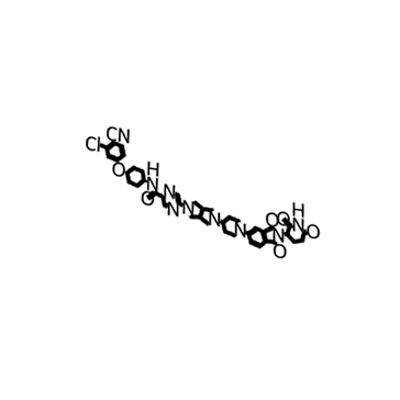 N#Cc1ccc(O[C@H]2CC[C@H](NC(=O)c3cnc(N4CC5CN(C6CCN(c7ccc8c(c7)C(=O)N(C7CCC(=O)NC7=O)C8=O)CC6)CC5C4)cn3)CC2)cc1Cl